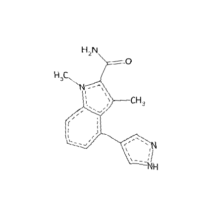 Cc1c(C(N)=O)n(C)c2cccc(-c3cn[nH]c3)c12